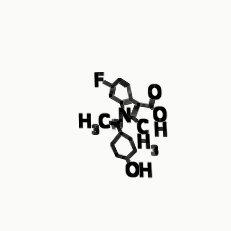 Cc1c(C(=O)O)c2ccc(F)cc2n1[C@H](C)C1CCC(O)CC1